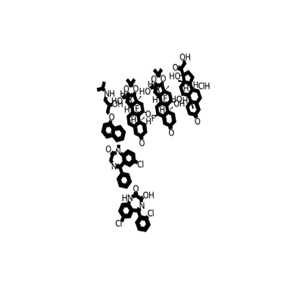 CC(C)NCC(O)COc1cccc2ccccc12.CC1(C)O[C@@H]2C[C@H]3[C@@H]4CCC5=CC(=O)C=C[C@]5(C)[C@@]4(F)[C@@H](O)C[C@]3(C)[C@]2(C(=O)CO)O1.CC1(C)O[C@@H]2C[C@H]3[C@@H]4C[C@H](F)C5=CC(=O)C=C[C@]5(C)[C@@]4(F)[C@@H](O)C[C@]3(C)[C@]2(C(=O)CO)O1.CN1C(=O)CN=C(c2ccccc2)c2cc(Cl)ccc21.C[C@]12CCC(=O)C=C1CC[C@@H]1[C@@H]2[C@@H](O)C[C@@]2(C)[C@H]1CC[C@]2(O)C(=O)CO.Cl.O=C1Nc2ccc(Cl)cc2C(c2ccccc2Cl)=NC1O